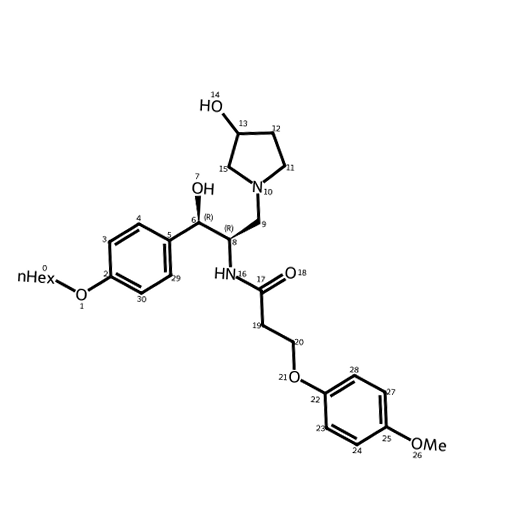 CCCCCCOc1ccc([C@@H](O)[C@@H](CN2CCC(O)C2)NC(=O)CCOc2ccc(OC)cc2)cc1